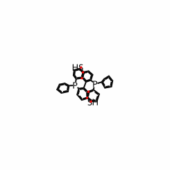 Sc1ccc(P(c2ccccc2)c2ccccc2)c(-c2cc(S)ccc2P(c2ccccc2)c2ccccc2)c1